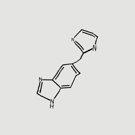 C1=CN=C(c2ccc3[nH]cnc3c2)[N]1